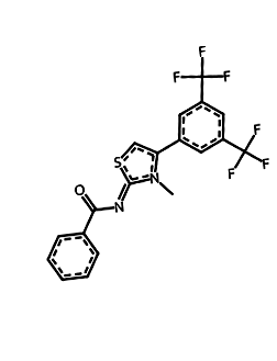 Cn1c(-c2cc(C(F)(F)F)cc(C(F)(F)F)c2)csc1=NC(=O)c1ccccc1